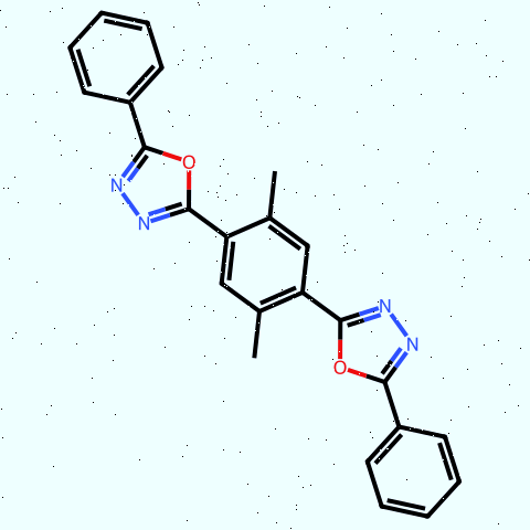 Cc1cc(-c2nnc(-c3ccccc3)o2)c(C)cc1-c1nnc(-c2ccccc2)o1